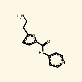 NCCc1ccc(C(=O)Nc2ccncc2)s1